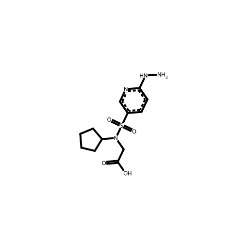 NNc1ccc(S(=O)(=O)N(CC(=O)O)C2CCCC2)cn1